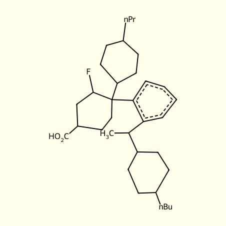 CCCCC1CCC(C(C)c2ccccc2C2(C3CCC(CCC)CC3)CCC(C(=O)O)CC2F)CC1